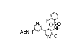 CC(=O)Nc1cncc(-c2cnc(Cl)c(NS(=O)(=O)c3ccccc3F)c2)c1